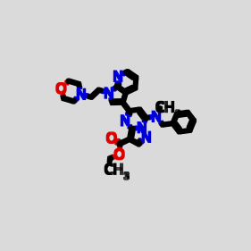 CCOC(=O)c1cnn2c(N(C)Cc3ccccc3)cc(-c3cn(CCN4CCOCC4)c4ncccc34)nc12